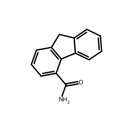 NC(=O)c1cccc2c1-c1ccccc1C2